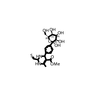 COC(=O)C1=C(C)NC(C=S)NC1c1ccc([C@@]2(O)O[C@H](CO)[C@@H](O)[C@@H](O)[C@H]2O)cc1